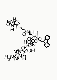 Nc1ncnc2c1ncn2[C@@H]1O[C@H](COP(=O)(O)OC(=O)[C@H](CCNC(=O)CCCC[C@@H]2SC[C@@H]3NC(=O)N[C@@H]32)NC(=O)OCC2c3ccccc3-c3ccccc32)C(O)[C@@H]1O